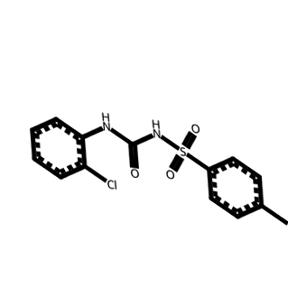 Cc1ccc(S(=O)(=O)NC(=O)Nc2ccccc2Cl)cc1